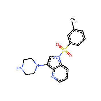 Cc1cccc(S(=O)(=O)n2cc(N3CCNCC3)c3ncccc32)c1